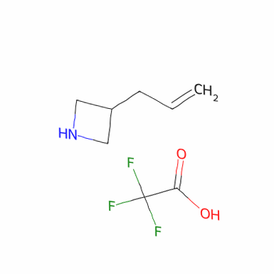 C=CCC1CNC1.O=C(O)C(F)(F)F